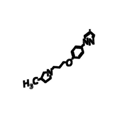 CC1CCN(CCCOc2ccc(-n3c[c]cn3)cc2)C1